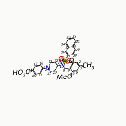 COc1cc(C)cc(OC)c1CN(C1CCN(c2ccc(C(=O)O)cc2)CC1)S(=O)(=O)c1ccc2ccccc2c1